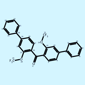 O=C(c1ccc(-c2ccccc2)cc1OC(F)(F)F)c1ccc(-c2ccccc2)cc1OC(F)(F)F